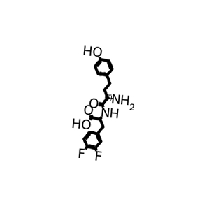 N[C@@H](CCc1ccc(O)cc1)C(=O)NC(Cc1ccc(F)c(F)c1)C(=O)O